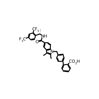 Cc1c(C)n(Cc2ccc(-c3ccccc3C(=O)O)cc2)c2ccc(C(=O)N[C@@H](C)c3ccc(C(F)(F)F)cc3C(F)(F)F)cc12